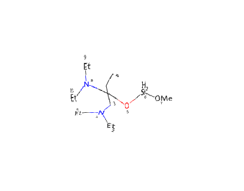 CCN(CC)C(C)(O[SiH2]OC)N(CC)CC